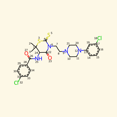 CC1(C)SC(=S)N(CCN2CCN(c3cccc(Cl)c3)CC2)C(=O)C1NC(=O)c1ccc(Cl)cc1